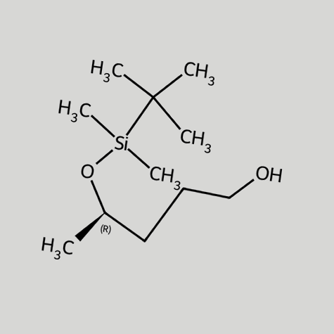 C[C@H](CCCO)O[Si](C)(C)C(C)(C)C